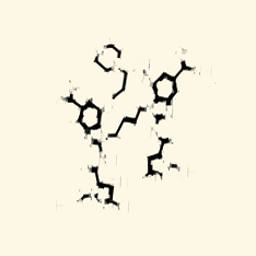 CCn1nc(C)cc1C(=O)Nc1nc2cc(C(N)=O)cc(OC)c2n1CC=CCn1c(NC(=O)c2cc(C)nn2CC)nc2cc(C(N)=O)cc(OCCCN3CCOCC3)c21